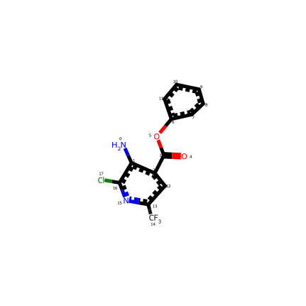 Nc1c(C(=O)Oc2ccccc2)cc(C(F)(F)F)nc1Cl